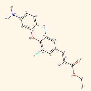 CCOC(=O)/C(C)=C/c1cc(F)c(Oc2cccc(N(C)C)c2)c(F)c1